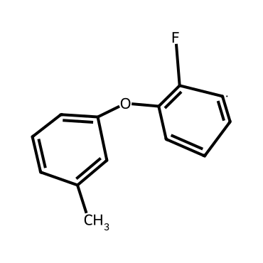 Cc1cccc(Oc2ccc[c]c2F)c1